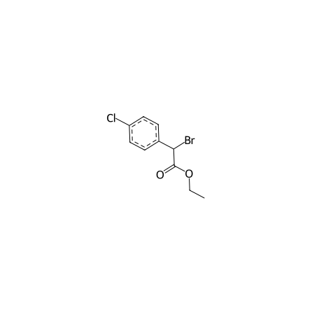 CCOC(=O)C(Br)c1ccc(Cl)cc1